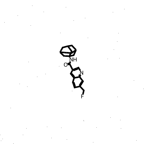 O=C(NC12CC3CC(CC(C3)C1)C2)c1cnc2cc(CF)ccc2c1